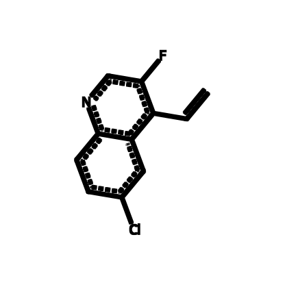 C=Cc1c(F)cnc2ccc(Cl)cc12